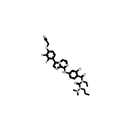 CCCN(C(=O)N(CC)C(=O)c1ccc(Nc2nccn3c(-c4ccc(OCC#N)c(F)c4F)cnc23)cc1Cl)N(C)C